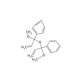 C=CC(OC)(OC(C=C)(OC)c1ccccc1)c1ccccc1